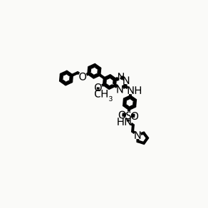 COc1cc2nc(Nc3ccc(S(=O)(=O)NCCN4CCCC4)cc3)nnc2cc1-c1cccc(OCc2ccccc2)c1